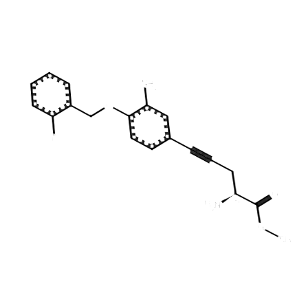 COC(=O)[C@@H](N)CC#Cc1ccc(OCc2ccccc2F)c(N)c1